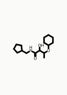 CC(OC1CCCCC1)C(O)C(=O)NCC1CCCC1